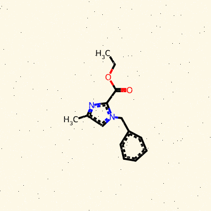 CCOC(=O)c1nc(C)cn1Cc1ccccc1